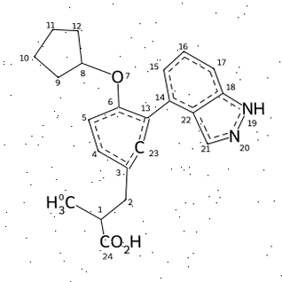 CC(Cc1ccc(OC2CCCC2)c(-c2cccc3[nH]ncc23)c1)C(=O)O